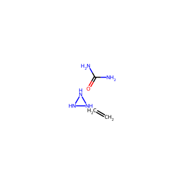 C=C.NC(N)=O.[nH]1[nH][nH]1